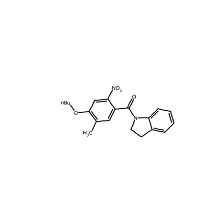 CCCCOc1cc([N+](=O)[O-])c(C(=O)N2CCc3ccccc32)cc1C